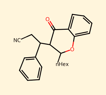 CCCCCCC1Oc2ccccc2C(=O)C1C(CC#N)c1ccccc1